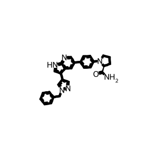 NC(=O)[C@@H]1CCCN1c1ccc(-c2cnc3[nH]cc(-c4cnn(Cc5ccccc5)c4)c3c2)cc1